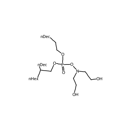 CCCCCCCCCCCCOP(=O)(OCC(CCCCCC)CCCCCCCCCC)ON(CCO)CCO